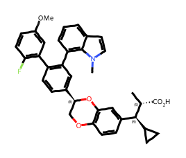 COc1ccc(F)c(-c2ccc([C@@H]3COc4ccc([C@H](C5CC5)[C@H](C)C(=O)O)cc4O3)cc2-c2cccc3ccn(C)c23)c1